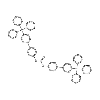 O=C(Oc1ccc(-c2ccc(C(c3ccccc3)(c3ccccc3)c3ccccc3)cc2)cc1)Oc1ccc(-c2ccc(C(c3ccccc3)(c3ccccc3)c3ccccc3)cc2)cc1